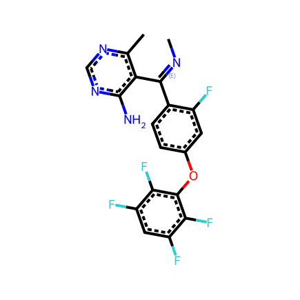 C/N=C(/c1ccc(Oc2c(F)c(F)cc(F)c2F)cc1F)c1c(C)ncnc1N